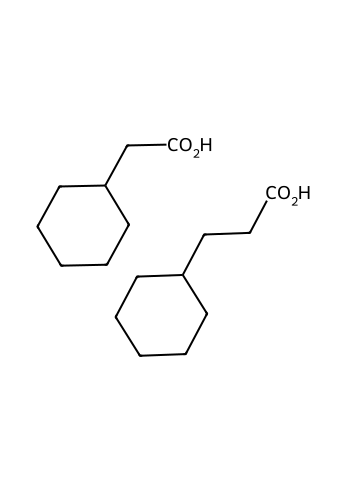 O=C(O)CC1CCCCC1.O=C(O)CCC1CCCCC1